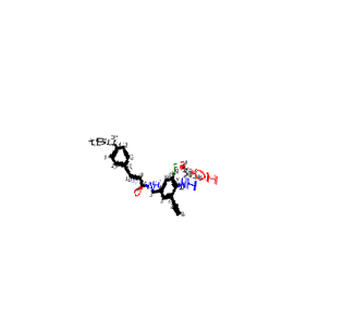 C#Cc1cc(CNC(=O)/C=C/c2ccc(C(C)(C)C)cc2)cc(F)c1N[Si](=O)O